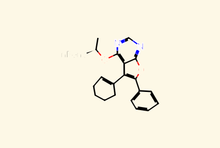 CCCCC[C@@H](C)Oc1ncnc2oc(-c3ccccc3)c(C3=CCCCC3)c12